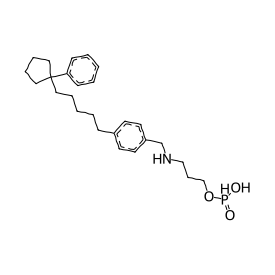 O=[PH](O)OCCCNCc1ccc(CCCCCC2(c3ccccc3)CCCC2)cc1